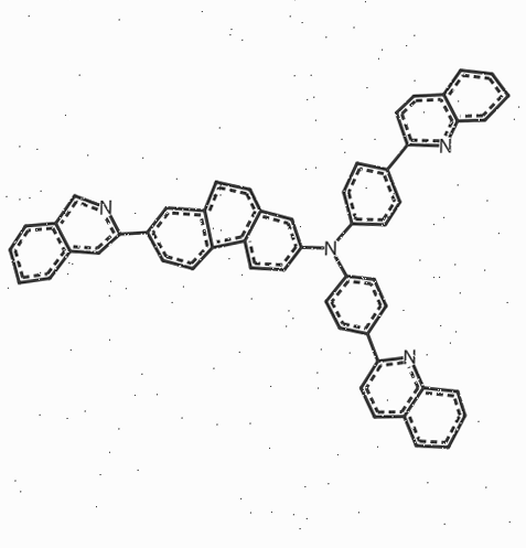 c1ccc2cc(-c3ccc4c(ccc5cc(N(c6ccc(-c7ccc8ccccc8n7)cc6)c6ccc(-c7ccc8ccccc8n7)cc6)ccc54)c3)ncc2c1